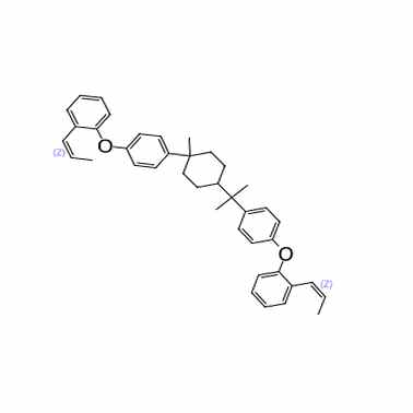 C/C=C\c1ccccc1Oc1ccc(C2(C)CCC(C(C)(C)c3ccc(Oc4ccccc4/C=C\C)cc3)CC2)cc1